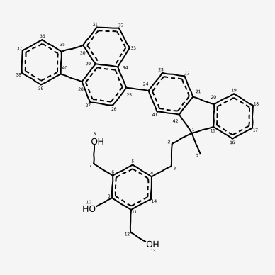 CC1(CCc2cc(CO)c(O)c(CO)c2)c2ccccc2-c2ccc(-c3ccc4c5c(cccc35)-c3ccccc3-4)cc21